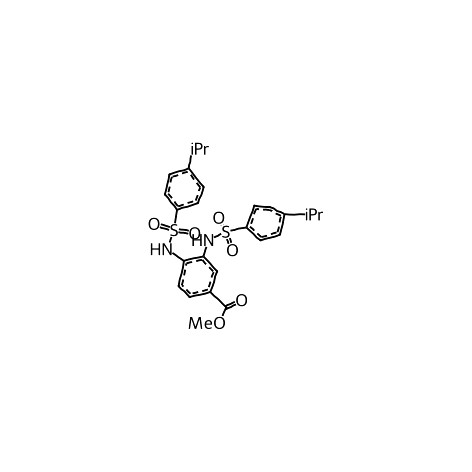 COC(=O)c1ccc(NS(=O)(=O)c2ccc(C(C)C)cc2)c(NS(=O)(=O)c2ccc(C(C)C)cc2)c1